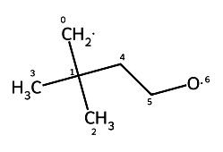 [CH2]C(C)(C)CC[O]